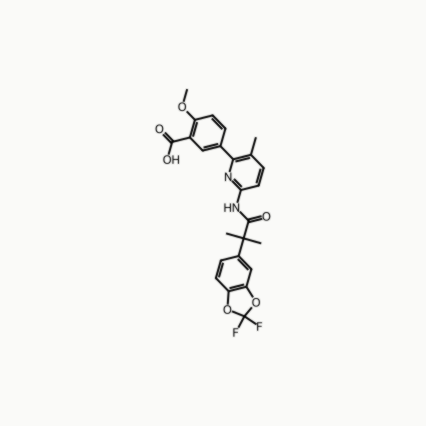 COc1ccc(-c2nc(NC(=O)C(C)(C)c3ccc4c(c3)OC(F)(F)O4)ccc2C)cc1C(=O)O